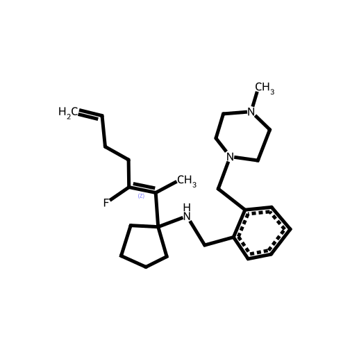 C=CCC/C(F)=C(\C)C1(NCc2ccccc2CN2CCN(C)CC2)CCCC1